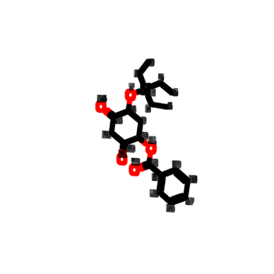 CC[Si](CC)(CC)OC1CC(OC(=O)c2ccccc2)C(=O)CC1=O